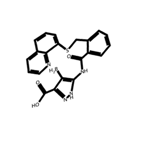 Bc1c(C(=O)O)n[nH]c1NC(=O)c1ccccc1CSc1cccc2cccnc12